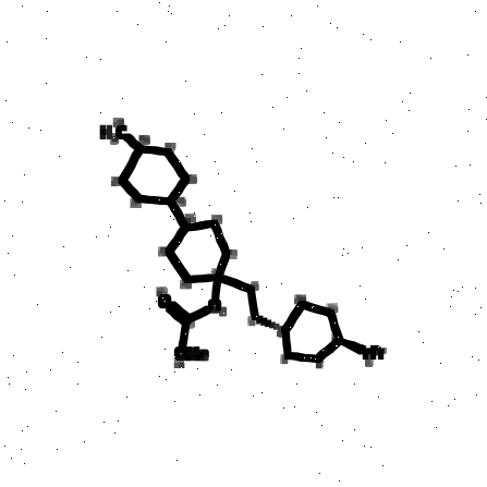 CCC[C@H]1CC[C@H](CCC2(OC(=O)OC)CCC(C3CCC(C)CC3)CC2)CC1